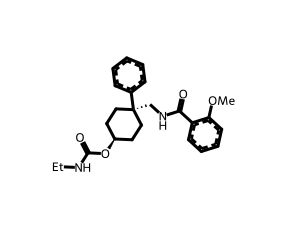 CCNC(=O)O[C@H]1CC[C@@](CNC(=O)c2ccccc2OC)(c2ccccc2)CC1